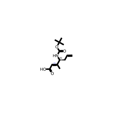 C=CC[C@H](NC(=O)OC(C)(C)C)/C(C)=C/C(=O)O